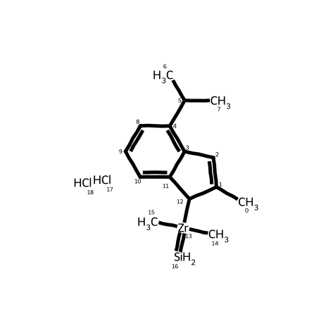 CC1=Cc2c(C(C)C)cccc2[CH]1[Zr]([CH3])([CH3])=[SiH2].Cl.Cl